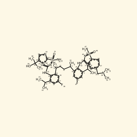 CC(C)c1cc(F)cc(C(C)CCC(C)c2cc(F)cc(C(C)C)c2NC(=O)N=S(N)(=O)c2ncc(C(C)(C)O)s2)c1NC(=O)N=S(N)(=O)c1ccc(CN(C)C)cc1